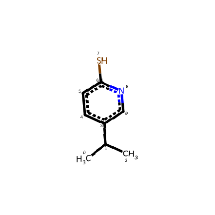 CC(C)c1ccc(S)nc1